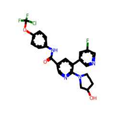 O=C(Nc1ccc(OC(F)(F)Cl)cc1)c1cnc(N2CCC(O)C2)c(-c2cncc(F)c2)c1